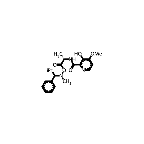 COc1ccnc(C(=O)N[C@@H](C)C(=O)ON(C)C(c2ccccc2)C(C)C)c1O